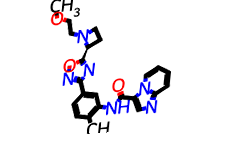 COCCN1CC[C@H]1c1nc(-c2ccc(C)c(NC(=O)c3cnc4ccccn34)c2)no1